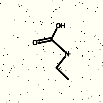 CC[N]C(=O)O